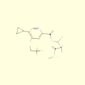 CNC(=O)C(C)(O)C(C)NC(=O)c1cc(O[C@@H](C)C(F)(F)F)c(C2CC2)cn1